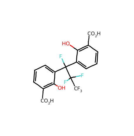 O=C(O)c1cccc(C(F)(c2cccc(C(=O)O)c2O)C(F)(F)C(F)(F)F)c1O